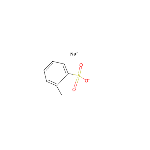 Cc1ccccc1S(=O)(=O)[O-].[Na+]